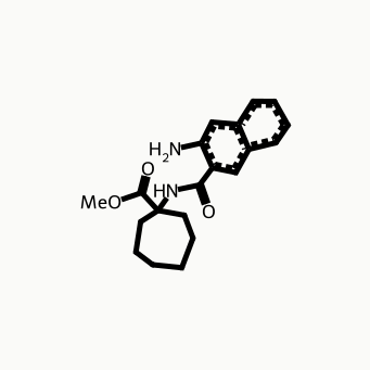 COC(=O)C1(NC(=O)c2cc3ccccc3cc2N)CCCCCC1